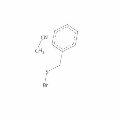 BrSCc1ccccc1.CC#N